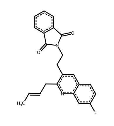 C/C=C/Cc1nc2cc(F)ccc2cc1CCN1C(=O)c2ccccc2C1=O